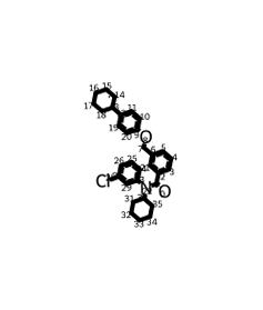 O=C(c1cccc(COc2ccc(C3[CH]CCCC3)cc2)c1)N(c1cccc(Cl)c1)C1CCCCC1